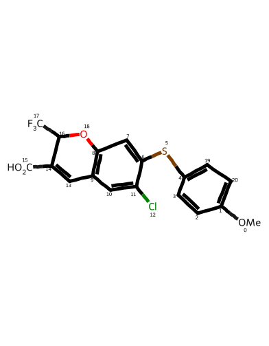 COc1ccc(Sc2cc3c(cc2Cl)C=C(C(=O)O)C(C(F)(F)F)O3)cc1